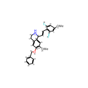 COc1cc(F)c(C=CC2NCCc3cc(OCc4ccccc4)c(OC)cc32)c(F)c1